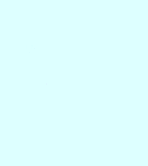 CCCCCC([O])CN